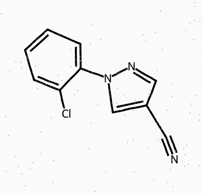 N#Cc1cnn(-c2ccccc2Cl)c1